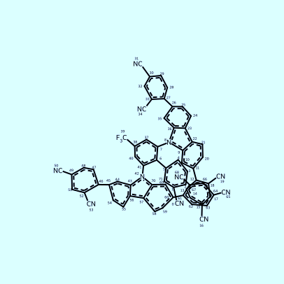 N#Cc1cccc(-c2c(-n3c4cc(-c5ccc(C#N)cc5C#N)ccc4c4ccc(-c5ccc(C#N)cc5C#N)cc43)cc(C(F)(F)F)cc2-n2c3cc(-c4ccc(C#N)cc4C#N)ccc3c3ccc(-c4ccc(C#N)cc4C#N)cc32)c1